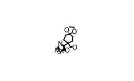 COC(=O)C1(c2cscn2)CCC2(CC1)OCCO2